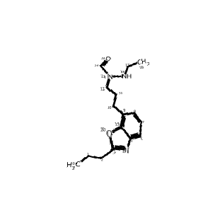 CCCc1nc2cccc(CCCN(C=O)NCC)c2o1